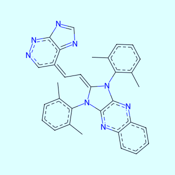 Cc1cccc(C)c1N1C(=C/C=c2/cnnc3c2=NC=N3)N(c2c(C)cccc2C)c2nc3ccccc3nc21